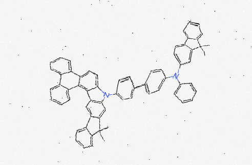 CC1(C)c2ccccc2-c2ccc(N(c3ccccc3)c3ccc(-c4ccc(-n5c6cc7c(cc6c6c8c9ccccc9c9ccccc9c8ccc65)-c5ccccc5C7(C)C)cc4)cc3)cc21